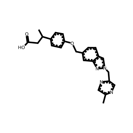 Cc1cnc(Cn2cc3ccc(COc4ccc(C(C)CC(=O)O)cc4)cc3n2)cn1